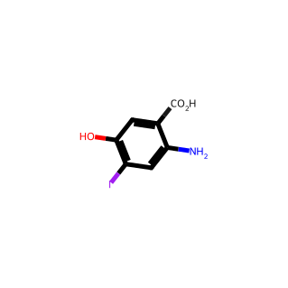 Nc1cc(I)c(O)cc1C(=O)O